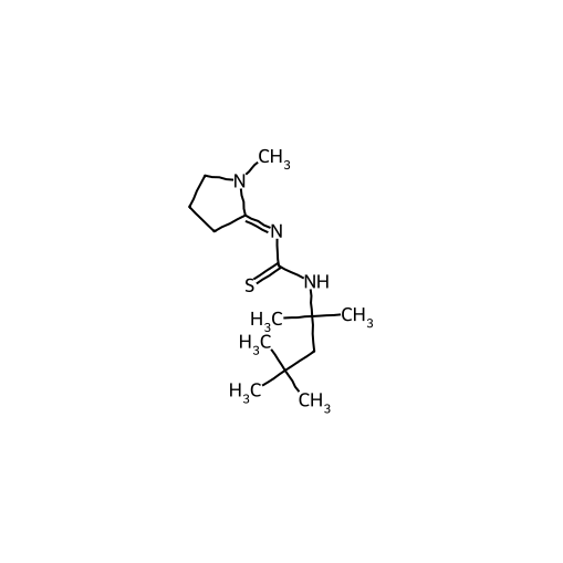 CN1CCCC1=NC(=S)NC(C)(C)CC(C)(C)C